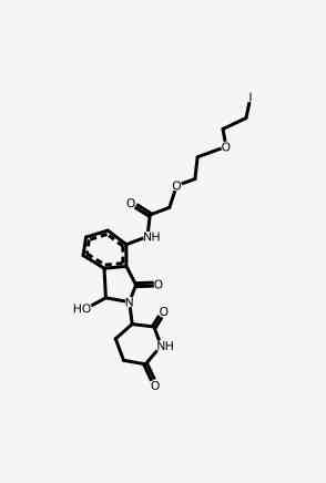 O=C1CCC(N2C(=O)c3c(NC(=O)COCCOCCI)cccc3C2O)C(=O)N1